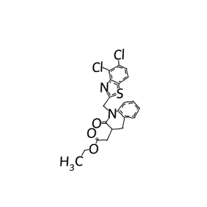 CCOC(=O)CC1Cc2ccccc2N(Cc2nc3c(Cl)c(Cl)ccc3s2)C1=O